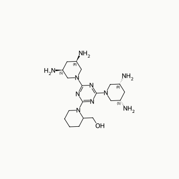 N[C@@H]1C[C@H](N)CN(c2nc(N3C[C@H](N)C[C@H](N)C3)nc(N3CCCCC3CO)n2)C1